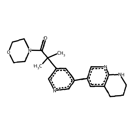 CC(C)(C(=O)N1CCOCC1)c1cncc(-c2cnc3c(c2)CCCN3)c1